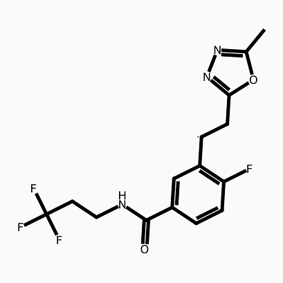 Cc1nnc(C[CH]c2cc(C(=O)NCCC(F)(F)F)ccc2F)o1